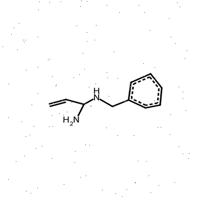 C=CC(N)NCc1ccccc1